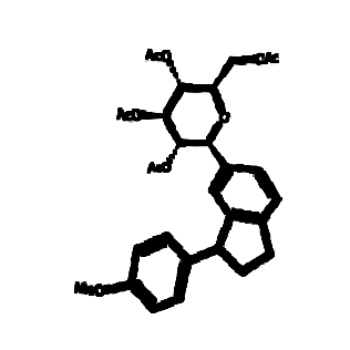 COc1ccc(C2CCc3ccc([C@@H]4O[C@H](COC(C)=O)[C@@H](OC(C)=O)[C@H](OC(C)=O)[C@H]4OC(C)=O)cc32)cc1